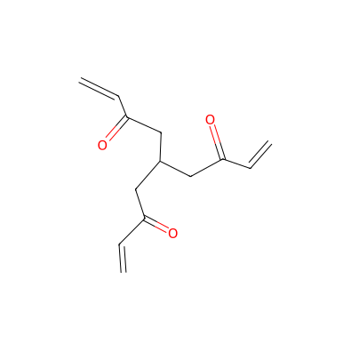 C=CC(=O)CC(CC(=O)C=C)CC(=O)C=C